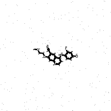 COCCOc1cc2nccc(Nc3ccc(Cl)cc3F)c2cc1C#N